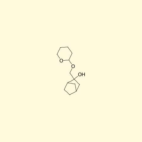 OC1(COC2CCCCO2)CC2CCC1C2